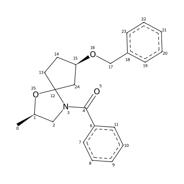 C[C@@H]1CN(C(=O)c2ccccc2)C2(CC[C@@H](OCc3ccccc3)C2)O1